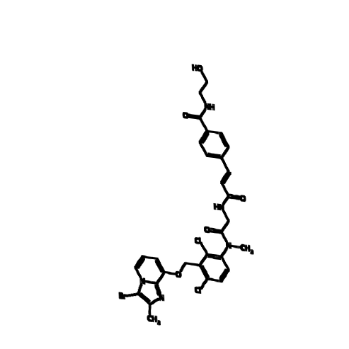 Cc1nc2c(OCc3c(Cl)ccc(N(C)C(=O)CNC(=O)/C=C/c4ccc(C(=O)NCCO)cc4)c3Cl)cccn2c1Br